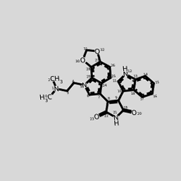 CN(C)CCn1cc(C2=C(c3c[nH]c4ccccc34)C(=O)NC2=O)c2ccc3c(c21)OCO3